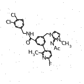 CC(=O)N=c1n(C)ccn1Cc1cc(C(=O)NCc2ccc(Cl)c(Cl)c2)cc(-c2ccc(F)nc2C)c1